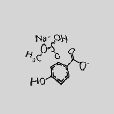 COS(=O)O.O=C([O-])c1ccc(O)cc1.[Na+]